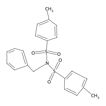 Cc1ccc(S(=O)(=O)N(Cc2ccccc2)S(=O)(=O)c2ccc(C)cc2)cc1